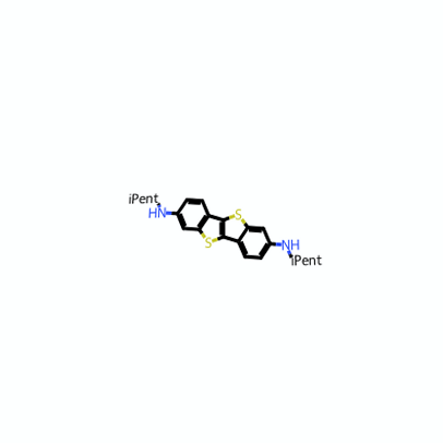 CCCC(C)Nc1ccc2c(c1)sc1c3ccc(NC(C)CCC)cc3sc21